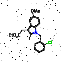 CCOC(=O)Cc1c(C)n(Cc2ccccc2Cl)c2ccc(OC)cc12